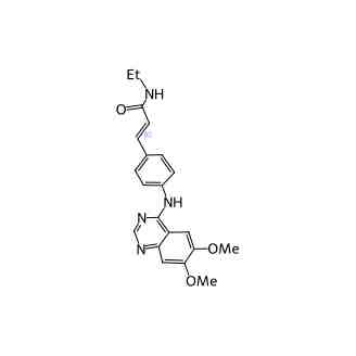 CCNC(=O)/C=C/c1ccc(Nc2ncnc3cc(OC)c(OC)cc23)cc1